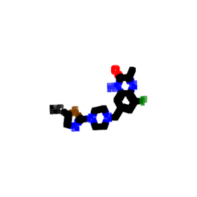 Cc1nc2c(F)cc(CN3CCN(c4ncc(C#N)s4)CC3)cc2[nH]c1=O